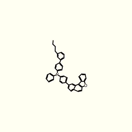 CCCCc1cccc(-c2ccc(N(c3ccccc3)c3ccc(-c4ccc5ccc6oc7ccccc7c6c5c4)cc3)cc2)c1